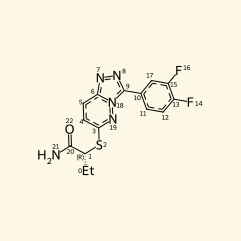 CC[C@@H](Sc1ccc2nnc(-c3ccc(F)c(F)c3)n2n1)C(N)=O